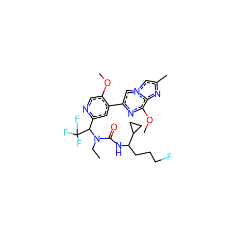 CCN(C(=O)NC(CCCF)C1CC1)C(c1cc(-c2cn3cc(C)nc3c(OC)n2)c(OC)cn1)C(F)(F)F